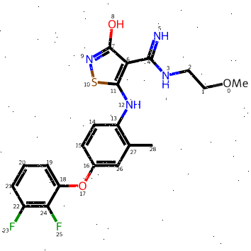 COCCNC(=N)c1c(O)nsc1Nc1ccc(Oc2cccc(F)c2F)cc1C